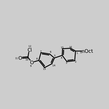 CCCCCCCCc1ccc(-c2ccc(OC(=O)Cl)cc2)cc1